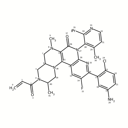 C=CC(=O)N1CC2CN(C)c3c(c4cc(F)c(-c5cc(N)ccc5Cl)nc4n(-c4c(C)ccnc4C(C)C)c3=O)N2CC1C